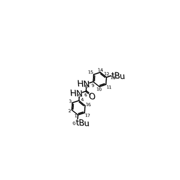 CC(C)(C)c1ccc(NC(=O)Nc2ccc(C(C)(C)C)cc2)cc1